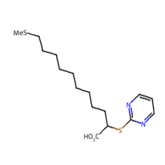 CSCCCCCCCCCC(Sc1ncccn1)C(=O)O